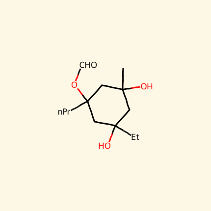 CCCC1(OC=O)CC(C)(O)CC(O)(CC)C1